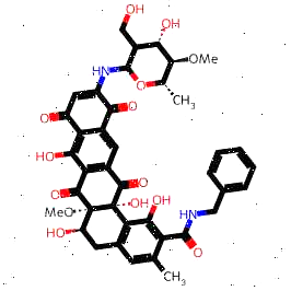 CO[C@H]1[C@H](C)OC(NC2=CC(=O)c3c(cc4c(c3O)C(=O)[C@]3(OC)[C@H](O)Cc5cc(C)c(C(=O)NCc6ccccc6)c(O)c5[C@]3(O)C4=O)C2=O)C(CO)[C@@H]1O